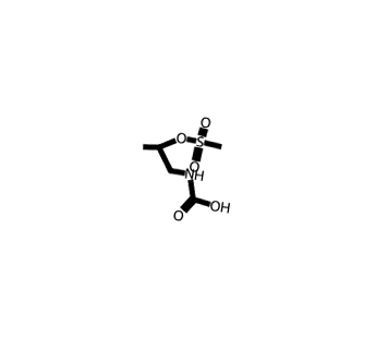 CC(CNC(=O)O)OS(C)(=O)=O